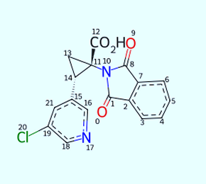 O=C1c2ccccc2C(=O)N1[C@@]1(C(=O)O)C[C@H]1c1cncc(Cl)c1